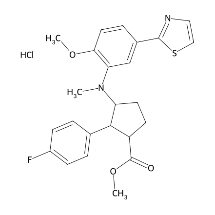 COC(=O)C1CCC(N(C)c2cc(-c3nccs3)ccc2OC)C1c1ccc(F)cc1.Cl